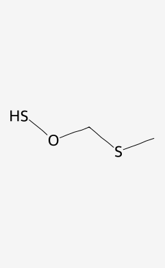 CSCOS